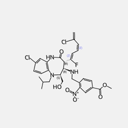 C=C(Cl)/C=C\C=C(/F)[C@H]1C(=O)Nc2cc(Cl)ccc2N(CC(C)C)[C@H](CO)[C@@H]1NCc1ccc(C(=O)OC)cc1[N+](=O)[O-]